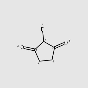 O=C1CCC(=O)C1F